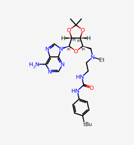 CCN(CCNC(=O)Nc1ccc(C(C)(C)C)cc1)C[C@H]1O[C@@H](n2cnc3c(N)ncnc32)[C@@H]2OC(C)(C)O[C@@H]21